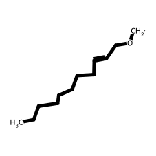 [CH2]OCC=CCCCCCCCC